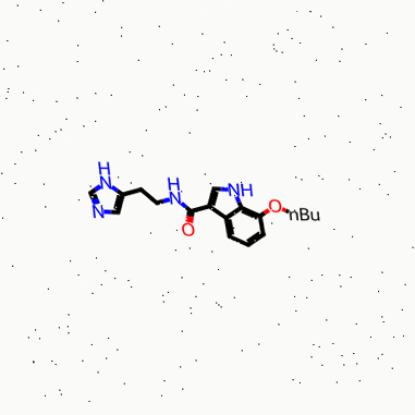 CCCCOc1cccc2c(C(=O)NCCc3cnc[nH]3)c[nH]c12